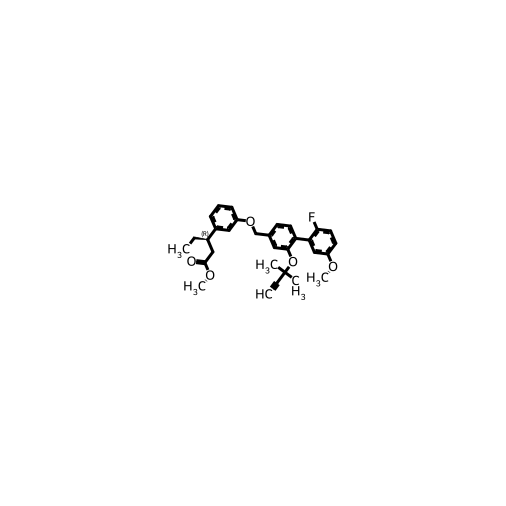 C#CC(C)(C)Oc1cc(COc2cccc([C@H](CC)CC(=O)OC)c2)ccc1-c1cc(OC)ccc1F